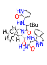 CC(C)(C)[C@H](Nc1ccc[nH]c1=O)C(=O)N1C[C@H]2[C@@H]([C@H]1C(=O)NC(C(N)=O)c1nncc3ccccc13)C2(C)C